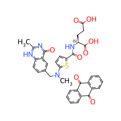 Cc1nc(=O)c2cc(CN(C)c3ccc(C(=O)N[C@@H](CCC(=O)O)C(=O)O)s3)ccc2[nH]1.O=C1c2ccccc2C(=O)c2ccccc21